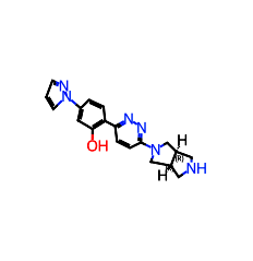 Oc1cc(-n2cccn2)ccc1-c1ccc(N2C[C@H]3CNC[C@@H]3C2)nn1